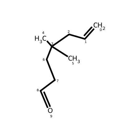 C=CCC(C)(C)CCC=O